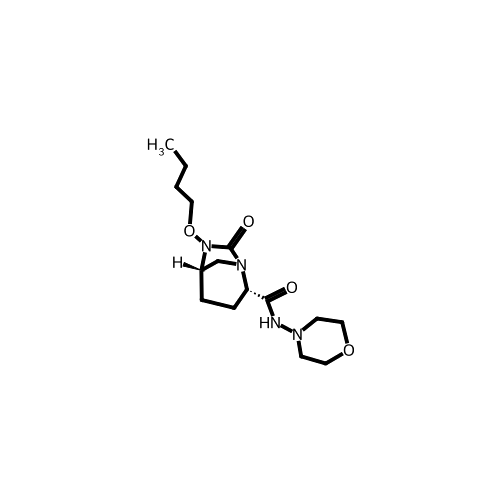 CCCCON1C(=O)N2C[C@@H]1CC[C@H]2C(=O)NN1CCOCC1